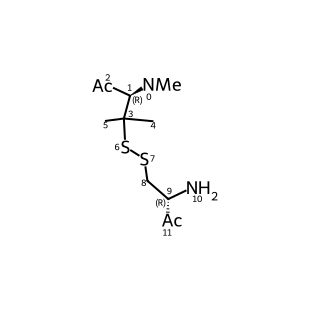 CN[C@H](C(C)=O)C(C)(C)SSC[C@H](N)C(C)=O